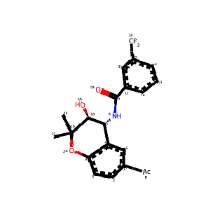 CC(=O)c1ccc2c(c1)[C@@H](NC(=O)c1cccc(C(F)(F)F)c1)[C@H](O)C(C)(C)O2